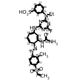 C=CS(=O)(=O)c1ccc(/N=N/C2C=CC=C(Nc3nc(F)nc(N(CC)c4cccc(S(=O)(=O)O)c4)n3)C=C2NC(N)=O)c(C)c1